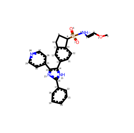 CO/C=C/NS(=O)(=O)C1CCc2cc(-c3[nH]c(-c4ccccc4)nc3-c3ccncc3)ccc21